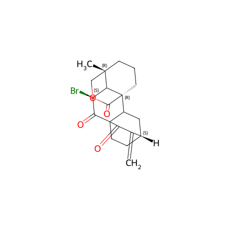 C=C1C(=O)C23CC[C@H]1CC2[C@@]12CCC[C@@](C)(COC1=O)C2[C@H](Br)C3=O